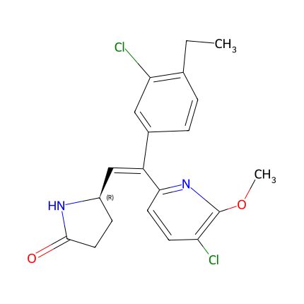 CCc1ccc(C(=C[C@H]2CCC(=O)N2)c2ccc(Cl)c(OC)n2)cc1Cl